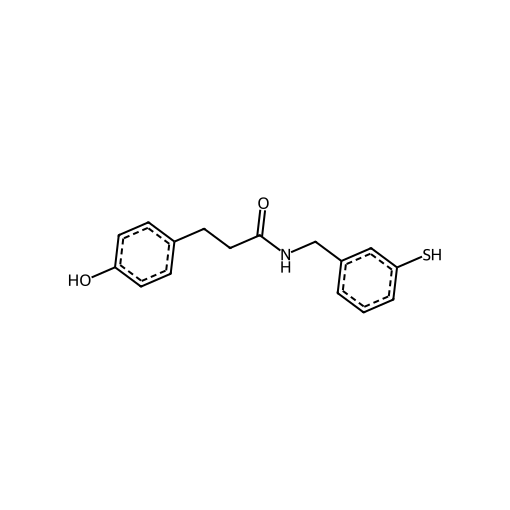 O=C(CCc1ccc(O)cc1)NCc1cccc(S)c1